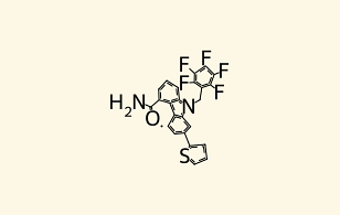 NC(=O)c1cccc2c1c1[c]cc(-c3cccs3)cc1n2Cc1c(F)c(F)c(F)c(F)c1F